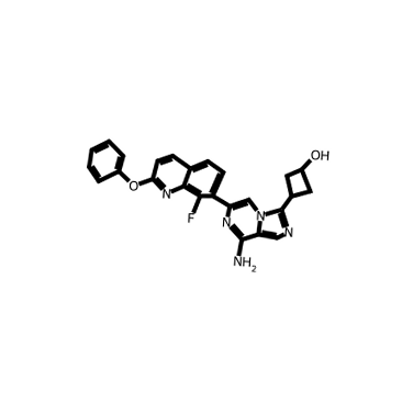 Nc1nc(-c2ccc3ccc(Oc4ccccc4)nc3c2F)cn2c(C3CC(O)C3)ncc12